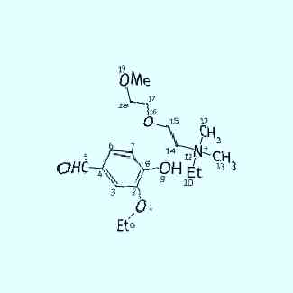 CCOc1cc(C=O)ccc1O.CC[N+](C)(C)CCOCCOC